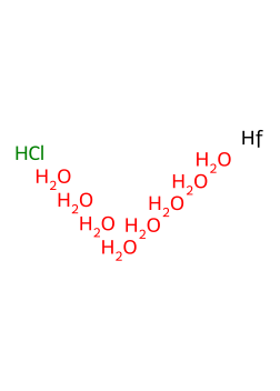 Cl.O.O.O.O.O.O.O.O.[Hf]